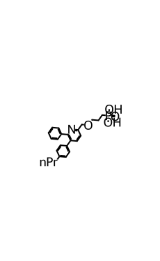 CCCc1ccc(-c2ccc(COCCCP(=O)(O)O)nc2-c2ccccc2)cc1